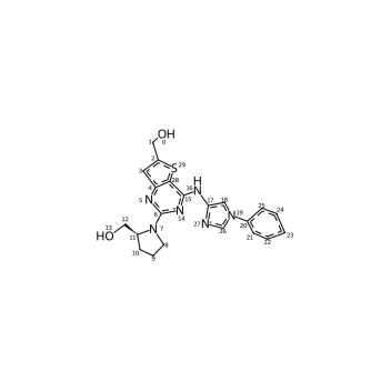 OCc1cc2nc(N3CCC[C@H]3CO)nc(Nc3cn(-c4ccccc4)cn3)c2s1